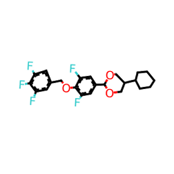 Fc1cc(COc2c(F)cc(C3OCC(C4CCCCC4)CO3)cc2F)cc(F)c1F